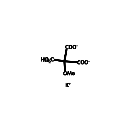 COC(C(=O)[O-])(C(=O)[O-])C(=O)O.[K+].[Na+]